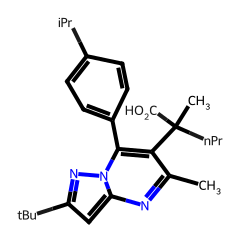 CCCC(C)(C(=O)O)c1c(C)nc2cc(C(C)(C)C)nn2c1-c1ccc(C(C)C)cc1